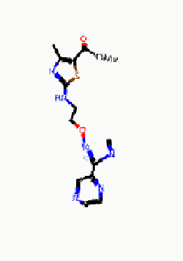 C=N/C(=N\OCCNc1nc(C)c(C(=O)OC)s1)c1cnccn1